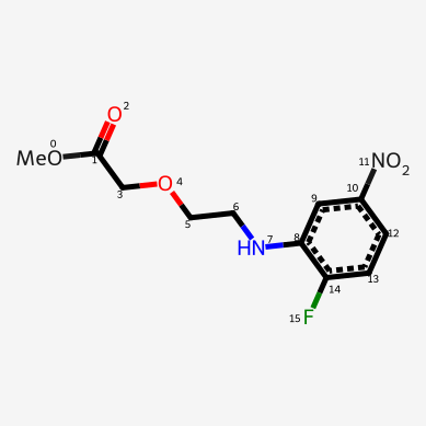 COC(=O)COCCNc1cc([N+](=O)[O-])ccc1F